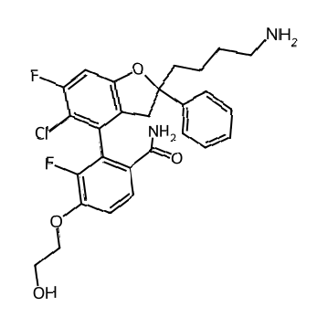 NCCCCC1(c2ccccc2)Cc2c(cc(F)c(Cl)c2-c2c(C(N)=O)ccc(OCCO)c2F)O1